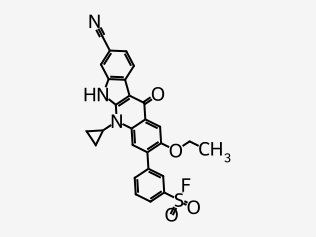 CCOc1cc2c(=O)c3c4ccc(C#N)cc4[nH]c3n(C3CC3)c2cc1-c1cccc(S(=O)(=O)F)c1